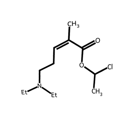 CCN(CC)CCC=C(C)C(=O)OC(C)Cl